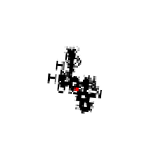 COc1cc2ccccc2c(C#N)c1-c1c(-c2ccc3c(=O)[nH]nc(CNC(=O)OC(C)(C)C)c3c2)cnn1C